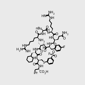 CCCC[C@H](NC(=O)[C@@H](N)CCCCNC(=N)N)C(=O)N[C@@H](CCCCNC(=N)N)C(=O)N[C@@H](CCC(N)=O)C(=O)N[C@@H](Cc1ccc(F)cc1)C(=O)N[C@@H](C)C(=O)N[C@@H](CC1CCCCC1)C(=O)N[C@@H](CSc1cccc(S(=O)(=O)F)c1)C(=O)N[C@@H](CC(C)C)C(=O)O